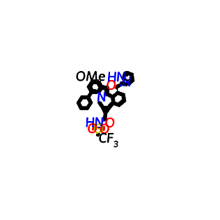 COc1ccc(C2CCCCC2)c2c1cc1n2CC2=C(C(=O)NS(=O)(=O)CC(F)(F)F)C2=C2C=CC[C@@H](C(=O)N3CC4CCC3CN4)C21